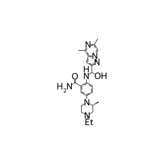 CCN1CCN(c2ccc(NC(O)c3cc4c(C)nc(C)cn4n3)c(C(N)=O)c2)[C@@H](C)C1